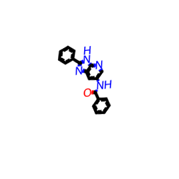 O=C(Nc1cnc2[nH]c(-c3ccccc3)nc2c1)c1ccccc1